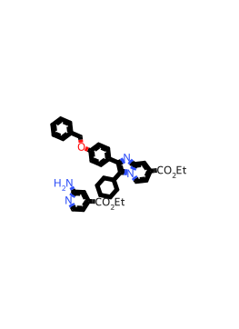 CCOC(=O)c1ccn2c(C3CCCCC3)c(-c3ccc(OCc4ccccc4)cc3)nc2c1.CCOC(=O)c1ccnc(N)c1